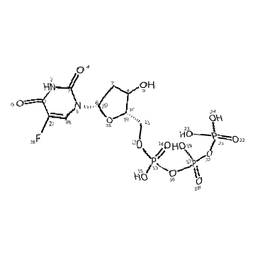 O=c1[nH]c(=O)n([C@@H]2CC(O)[C@H](COP(=O)(O)OP(=O)(O)OP(=O)(O)O)O2)cc1F